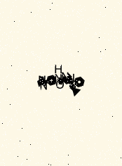 Cn1ccnc1-c1ccc(NC(=O)c2cc(N(CC3CC3)C3CCCCC3)ncn2)cc1